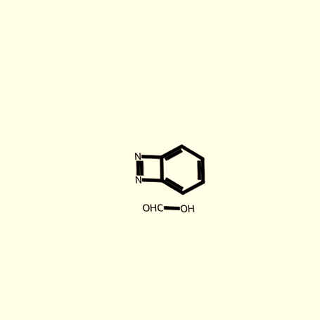 O=CO.c1ccc2c(c1)N=N2